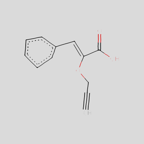 C#CCOC(=Cc1ccccc1)C(=O)O